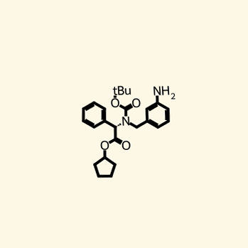 CC(C)(C)OC(=O)N(Cc1cccc(N)c1)[C@H](C(=O)OC1CCCC1)c1ccccc1